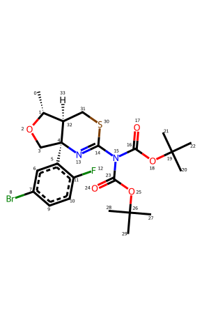 C[C@H]1OC[C@]2(c3cc(Br)ccc3F)N=C(N(C(=O)OC(C)(C)C)C(=O)OC(C)(C)C)SC[C@H]12